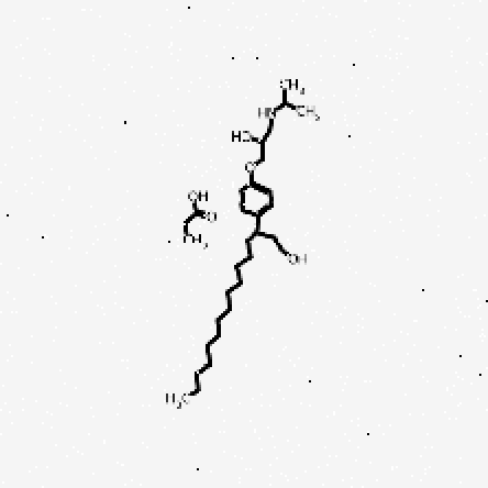 CCC(=O)O.CCCCCCCCCCCCCC(CCO)c1ccc(OCC(O)CNC(C)C)cc1